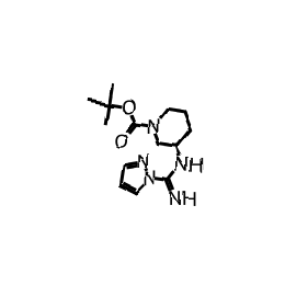 CC(C)(C)OC(=O)N1CCC[C@@H](NC(=N)n2cccn2)C1